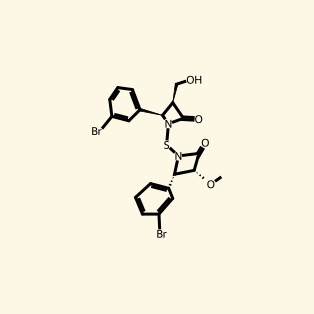 CO[C@H]1C(=O)N(SN2C(=O)[C@H](CO)[C@@H]2c2cccc(Br)c2)[C@H]1c1cccc(Br)c1